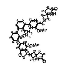 COc1nc(-c2cccc(-c3cccc(-c4cc5c(c(OC)n4)[C@@H](N4CC6(CCC(=O)N6)C4)CO5)c3C)c2C)cnc1CN1CC2(CCC(=O)N2)C1